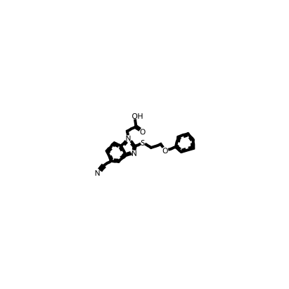 N#Cc1ccc2c(c1)nc(SCCOc1ccccc1)n2CC(=O)O